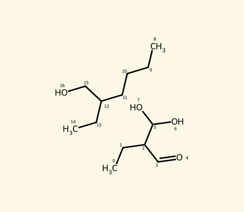 CCC(C=O)C(O)O.CCCCC(CC)CO